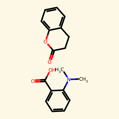 CN(C)c1ccccc1C(=O)O.O=C1CCc2ccccc2O1